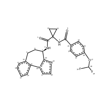 O=C(NC1(C(=O)N[C@@H]2CCc3ccccc3-n3ccnc32)CC1)c1ccc(OC(F)F)cc1